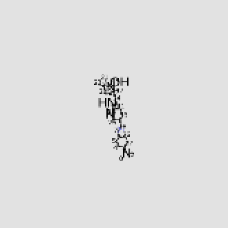 CN(C)c1ccc(/C=C/c2ccc(NCC(C)(C)N(O)C(C)(C)C)nc2)cc1